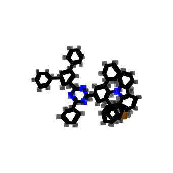 c1ccc(-c2cc(-c3ccccc3)cc(-c3nc(-c4ccccc4)nc(-c4cc(-c5ccccc5)c(-n5c6ccccc6c6ccc7sc8ccccc8c7c65)c(-c5ccccc5)c4)n3)c2)cc1